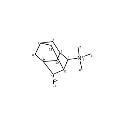 C[N+](C)(C)C1C2CC3CC(C2)CC1C3.[F-]